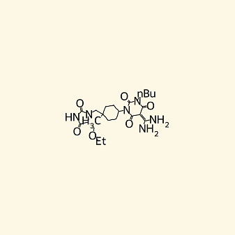 CCCCN1C(=O)C(=C(N)N)C(=O)N(C2CCC(C)(CN3C(=O)NC(=O)[C@H]3COCC)CC2)C1=O